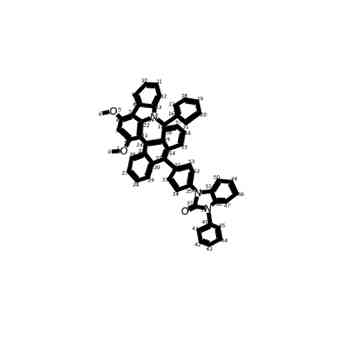 COc1cc(OC)c2c3ccccc3n(Cc3ccccc3)c2c1-c1c2ccccc2c(-c2ccc(-n3c(=O)n(-c4ccccc4)c4ccccc43)cc2)c2ccccc12